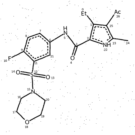 CCc1c(C(=O)Nc2ccc(F)c(S(=O)(=O)N3CCOCC3)c2)[nH]c(C)c1C(C)=O